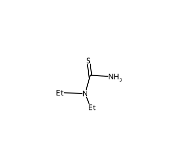 CCN(CC)C(N)=S